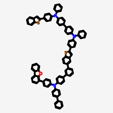 c1ccc(-c2ccc(N(c3ccc(-c4cccc(-c5ccc6sc(-c7ccc(N(c8ccccc8)c8ccc(-c9ccc(N(c%10ccccc%10)c%10ccc(-c%11cc%12ccccc%12s%11)cc%10)cc9)cc8)cc7)cc6c5)c4)cc3)c3ccc(-c4cccc5c4oc4ccccc45)cc3)cc2)cc1